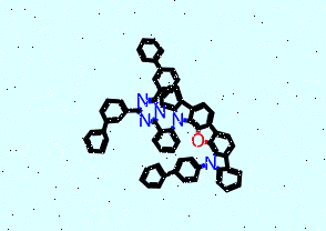 c1ccc(-c2ccc(-n3c4ccccc4c4ccc5c6ccc7c8ccccc8n(-c8ccccc8-c8nc(-c9cccc(-c%10ccccc%10)c9)nc(-c9cccc(-c%10ccccc%10)c9)n8)c7c6oc5c43)cc2)cc1